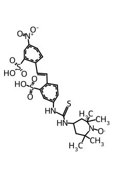 CC1(C)CC(NC(=S)Nc2ccc(/C=C/c3ccc([N+](=O)[O-])cc3S(=O)(=O)O)c(S(=O)(=O)O)c2)CC(C)(C)N1[O]